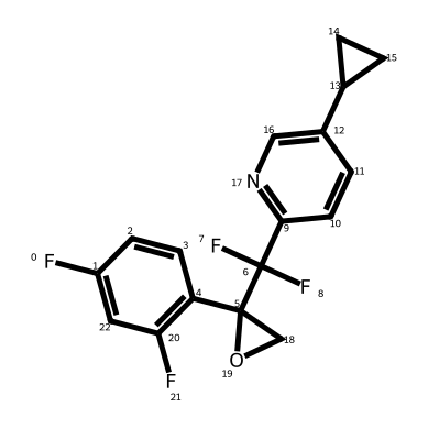 Fc1ccc(C2(C(F)(F)c3ccc(C4CC4)cn3)CO2)c(F)c1